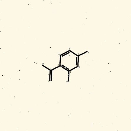 [CH2]C(=C)c1ccc(C)cc1C